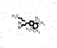 CCCCC[C@@H](C=C(Br)Br)c1ccc2c(c1)C(C)(C)CCC2(C)C